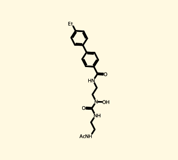 CCc1ccc(-c2ccc(C(=O)NCCN(O)C(=O)NCCNC(C)=O)cc2)cc1